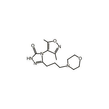 Cc1noc(C)c1-n1c(CCCN2CCOCC2)n[nH]c1=O